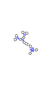 c1ccc(-c2nc(-c3ccccc3)nc(-c3ccc4c(c3)Cc3cc5ccc(-n6c7ccc(-n8c9ccccc9c9ccccc98)cc7c7cc(-n8c9ccccc9c9ccccc98)ccc76)cc5cc3C4)n2)cc1